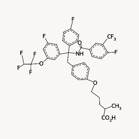 CC(CCCOc1ccc(CC(NC(=O)c2ccc(F)c(C(F)(F)F)c2)(c2ccc(F)cc2)c2cc(F)cc(OC(F)(F)C(F)F)c2)cc1)C(=O)O